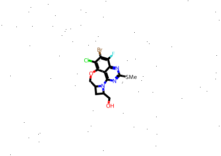 CSc1nc2c3c(c(Cl)c(Br)c(F)c3n1)OCC1CC(CO)N21